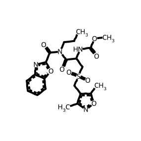 CCCN(C(=O)c1nc2ccccc2o1)C(=O)C(CS(=O)(=O)Cc1c(C)noc1C)NC(=O)OC